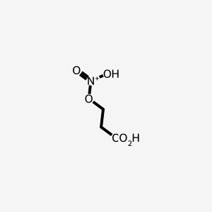 O=C(O)CCO[N+](=O)O